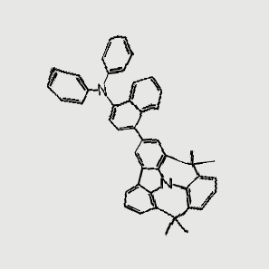 CC1(C)c2cccc3c2-n2c4c1cccc4c1cc(-c4ccc(N(c5ccccc5)c5ccccc5)c5ccccc45)cc(c12)C3(C)C